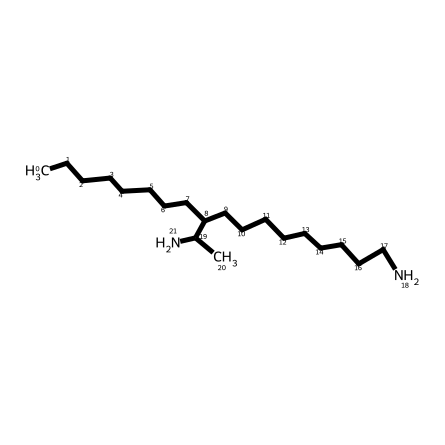 CCCCCCCCC(CCCCCCCCCN)C(C)N